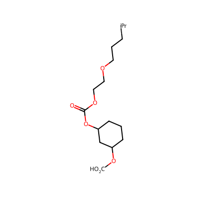 CC(C)CCCOCCOC(=O)OC1CCCC(OC(=O)O)C1